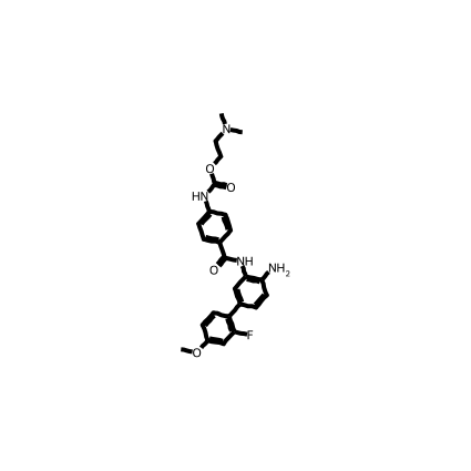 COc1ccc(-c2ccc(N)c(NC(=O)c3ccc(NC(=O)OCCN(C)C)cc3)c2)c(F)c1